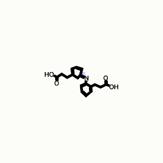 O=C(O)CCC1=CC=C/C(=N/c2ccccc2CCC(=O)O)C1